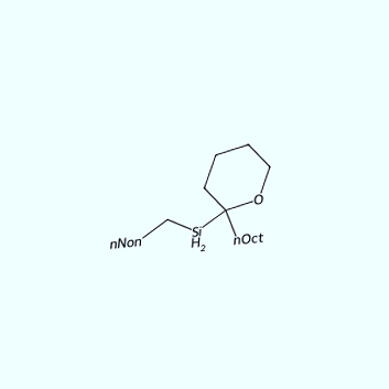 CCCCCCCCCC[SiH2]C1(CCCCCCCC)CCCCO1